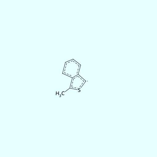 Cc1s[c]c2ccccc12